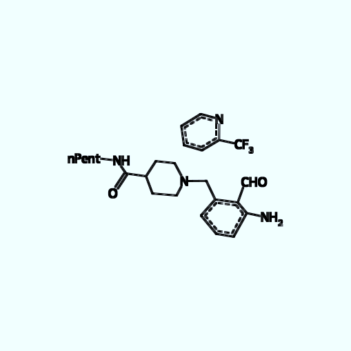 CCCCCNC(=O)C1CCN(Cc2cccc(N)c2C=O)CC1.FC(F)(F)c1ccccn1